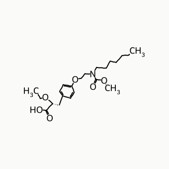 CCCCCCCN(CCOc1ccc(C[C@@H](OCC)C(=O)O)cc1)C(=O)OC